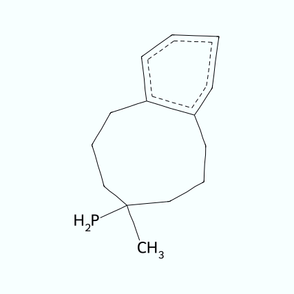 CC1(P)CCCc2ccccc2CCC1